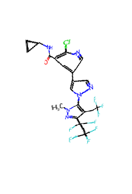 Cn1nc(C(F)(F)C(F)(F)F)c(C(F)(F)F)c1-n1cc(-c2cnc(Cl)c(C(=O)NC3CC3)c2)cn1